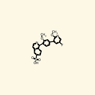 COc1cc(-c2cc(F)cnc2OC)ccc1-c1nccc2cc(S(=O)(=O)O)ccc12